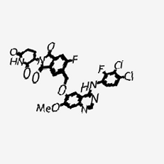 COc1cc2ncnc(Nc3ccc(Cl)c(Cl)c3F)c2cc1OCc1cc2c(cc1F)C(=O)N(C1CCC(=O)NC1=O)C2=O